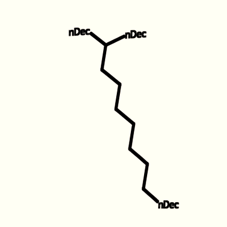 CCCCCCCCCCCCCCCCCC(CCCCCCCCCC)CCCCCCCCCC